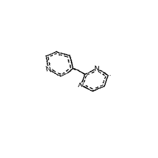 [c]1ccnc(-c2cccnc2)n1